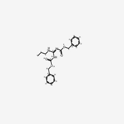 [CH2]CCNC(=NC(=O)OCc1ccccc1)NC(=O)OCc1ccccc1